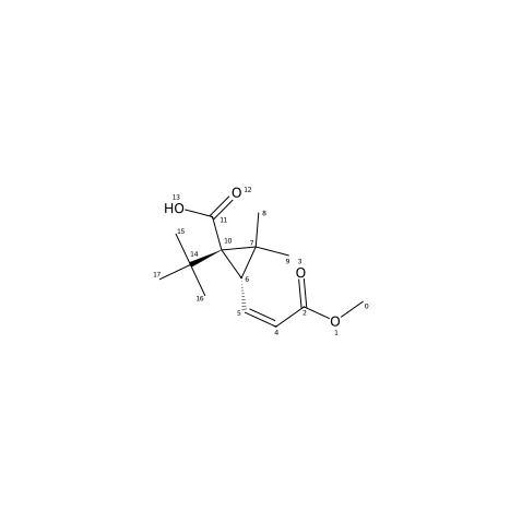 COC(=O)/C=C\[C@H]1C(C)(C)[C@]1(C(=O)O)C(C)(C)C